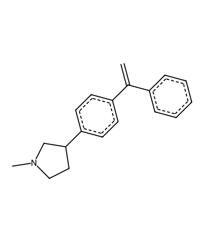 C=C(c1ccccc1)c1ccc(C2CCN(C)C2)cc1